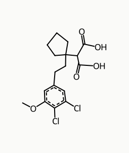 COc1cc(CCC2(C(C(=O)O)C(=O)O)CCCC2)cc(Cl)c1Cl